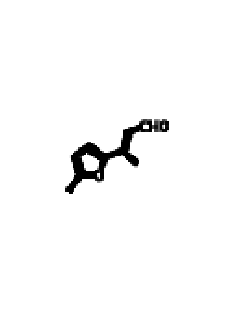 C/C(=C\C=O)c1ccc(C)o1